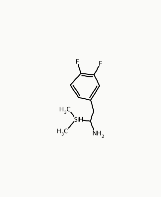 C[SiH](C)C(N)Cc1ccc(F)c(F)c1